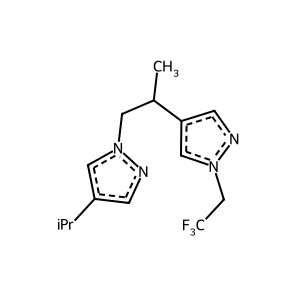 CC(C)c1cnn(CC(C)c2cnn(CC(F)(F)F)c2)c1